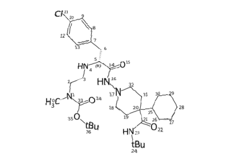 CN(CCN[C@H](Cc1ccc(Cl)cc1)C(=O)NN1CCC(C(=O)NC(C)(C)C)(C2CCCCC2)CC1)C(=O)OC(C)(C)C